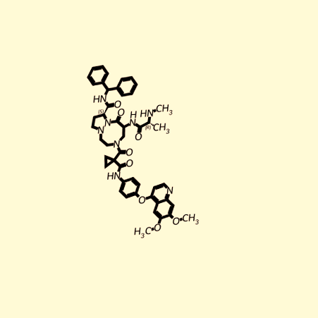 CN[C@H](C)C(=O)NC1CN(C(=O)C2(C(=O)Nc3ccc(Oc4ccnc5cc(OC)c(OC)cc45)cc3)CC2)CCN2CC[C@@H](C(=O)NC(c3ccccc3)c3ccccc3)N2C1=O